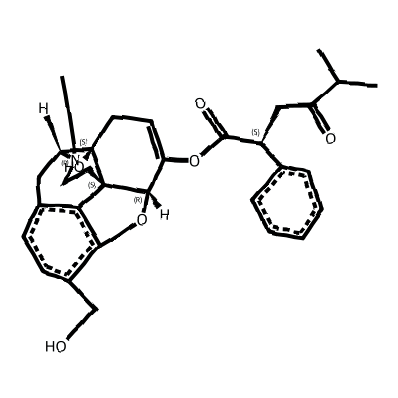 CC(C)C(=O)C[C@H](C(=O)OC1=CC[C@@]2(O)[C@H]3Cc4ccc(CO)c5c4[C@@]2(CCN3C)[C@H]1O5)c1ccccc1